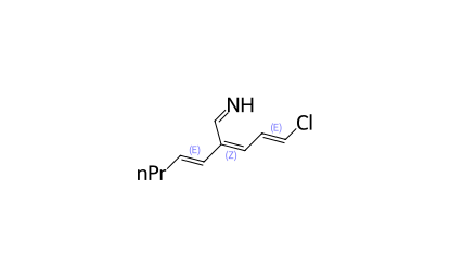 CCC/C=C/C(C=N)=C/C=C/Cl